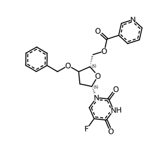 O=C(OC[C@@H]1O[C@H](n2cc(F)c(=O)[nH]c2=O)CC1OCc1ccccc1)c1cccnc1